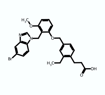 CCc1cc(COc2cccc(OC)c2Cn2cnc3cc(Br)ccc32)ccc1CCC(=O)O